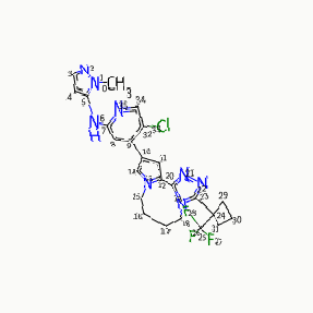 Cn1nccc1Nc1cc(-c2cc3n(c2)CCCCn2c-3nnc2C2(C(F)(F)F)CCC2)c(Cl)cn1